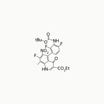 CCOC(=O)c1c[nH]c2c(C)c(F)c([N+](=O)[O-])c(-c3ccc(F)c(NC(=O)OC(C)(C)C)c3F)c2c1=O